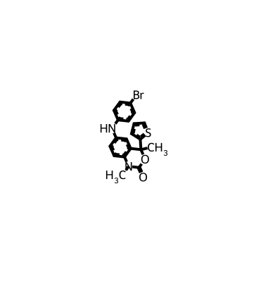 CN1C(=O)OC(C)(c2cccs2)c2cc(Nc3ccc(Br)cc3)ccc21